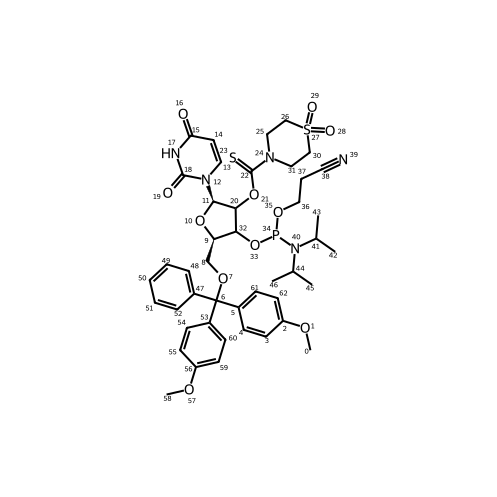 COc1ccc(C(OC[C@H]2O[C@@H](n3ccc(=O)[nH]c3=O)C(OC(=S)N3CCS(=O)(=O)CC3)C2OP(OCCC#N)N(C(C)C)C(C)C)(c2ccccc2)c2ccc(OC)cc2)cc1